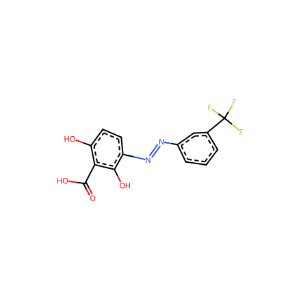 O=C(O)c1c(O)ccc(/N=N/c2cccc(C(F)(F)F)c2)c1O